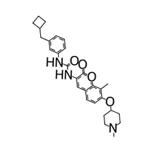 Cc1c(OC2CCN(C)CC2)ccc2cc(NC(=O)Nc3cccc(CC4CCC4)c3)c(=O)oc12